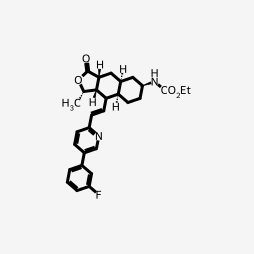 CCOC(=O)N[C@H]1CC[C@H]2C(/C=C/c3ccc(-c4cccc(F)c4)cn3)[C@@H]3[C@H](C)OC(=O)[C@@H]3C[C@H]2C1